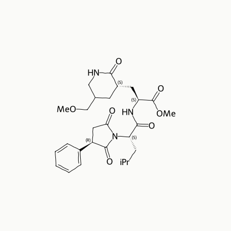 COCC1CNC(=O)[C@H](C[C@H](NC(=O)[C@H](CC(C)C)N2C(=O)C[C@H](c3ccccc3)C2=O)C(=O)OC)C1